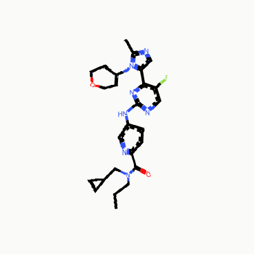 CCCN(CC1CC1)C(=O)c1ccc(Nc2ncc(F)c(-c3cnc(C)n3C3CCOCC3)n2)cn1